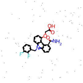 NC(=O)c1cccc2c1c1c(OCC(=O)O)cccc1n2Cc1cccc(F)c1F